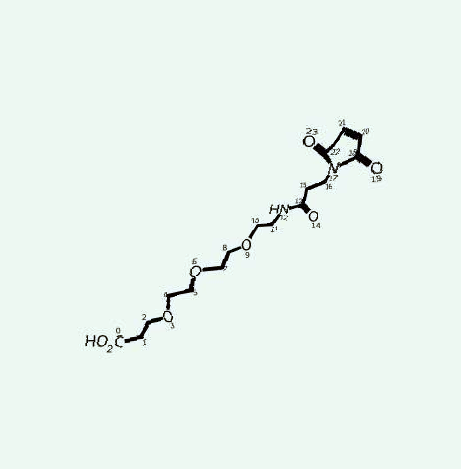 O=C(O)CCOCCOCCOCCNC(=O)CCN1C(=O)C=CC1=O